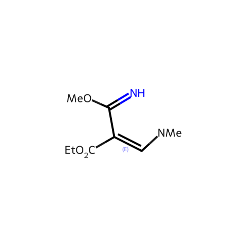 CCOC(=O)/C(=C/NC)C(=N)OC